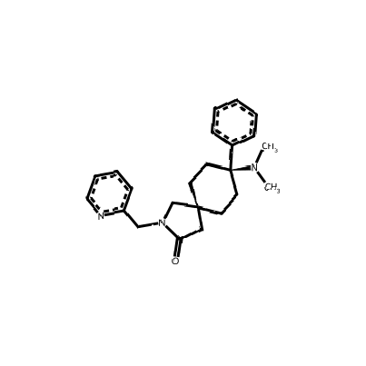 CN(C)[C@]1(c2ccccc2)CC[C@@]2(CC1)CC(=O)N(Cc1ccccn1)C2